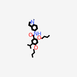 CCCCOc1cc(OCCCC)c(C(C)C)cc1C(=O)Nc1ccc2c(ccn2C)c1